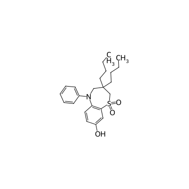 CCCCC1(CCCC)CN(c2ccccc2)c2ccc(O)cc2S(=O)(=O)C1